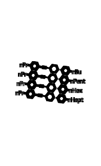 CCCCCCCc1ccc([C@H]2CC[C@H](C#Cc3ccc(CCC)cc3)CC2)cc1.CCCCCCc1ccc([C@H]2CC[C@H](C#Cc3ccc(CCC)cc3)CC2)cc1.CCCCCc1ccc([C@H]2CC[C@H](C#Cc3ccc(CCC)cc3)CC2)cc1.CCCCc1ccc([C@H]2CC[C@H](C#Cc3ccc(CCC)cc3)CC2)cc1